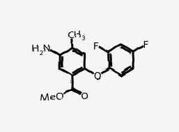 COC(=O)c1cc(N)c(C)cc1Oc1ccc(F)cc1F